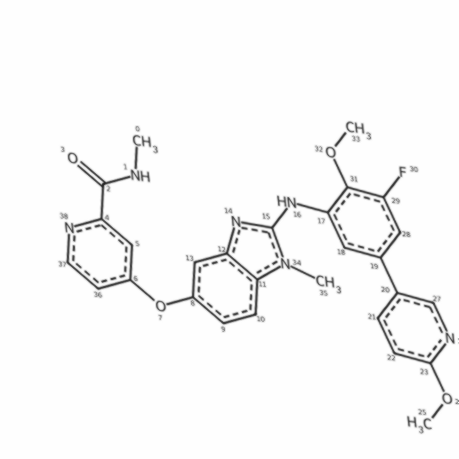 CNC(=O)c1cc(Oc2ccc3c(c2)nc(Nc2cc(-c4ccc(OC)nc4)cc(F)c2OC)n3C)ccn1